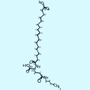 CCCCNC(=O)CC[C@H](NC(=O)CCCCCCCCCCCCCCCCC(=O)O)C(=O)O